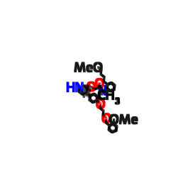 COCCCCc1ccccc1N(C)C(=O)CO[C@H]1CNCC[C@@H]1c1ccc(OCCCOCc2ccccc2OC)cc1